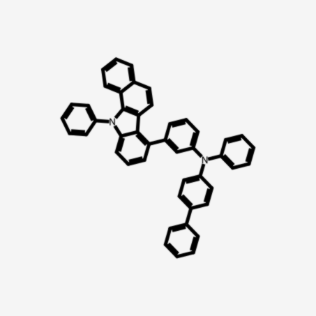 c1ccc(-c2ccc(N(c3ccccc3)c3cccc(-c4cccc5c4c4ccc6ccccc6c4n5-c4ccccc4)c3)cc2)cc1